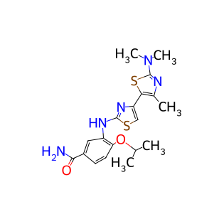 Cc1nc(N(C)C)sc1-c1csc(Nc2cc(C(N)=O)ccc2OC(C)C)n1